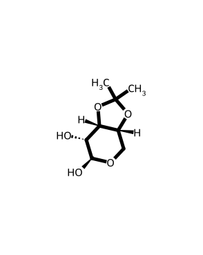 CC1(C)O[C@H]2[C@@H](O)[C@H](O)OC[C@H]2O1